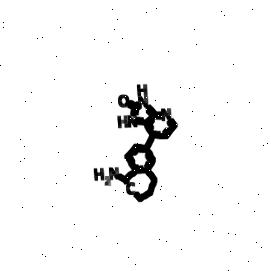 NC1CCCCc2cc(-c3ccnc4[nH]c(=O)[nH]c34)ccc21